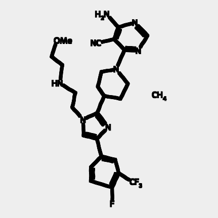 C.COCCNCCn1cc(-c2ccc(F)c(C(F)(F)F)c2)nc1C1CCN(c2ncnc(N)c2C#N)CC1